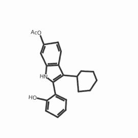 CC(=O)Oc1ccc2c(C3CCCCC3)c(-c3ccccc3O)[nH]c2c1